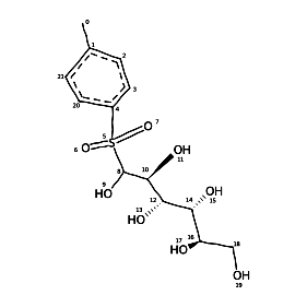 Cc1ccc(S(=O)(=O)C(O)[C@@H](O)[C@@H](O)[C@H](O)[C@H](O)CO)cc1